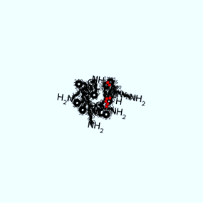 C[C@@H](c1ccccc1)N(CC(N)=O)C(=O)CN(Cc1ccccc1)C(=O)CN(CCCCN)C(=O)CN(Cc1ccccc1)C(=O)CN(Cc1ccccc1)C(=O)CN(CCCCN)C(=O)CN(Cc1ccccc1)C(=O)CN(Cc1ccccc1)C(=O)CN(CCCCN)C(=O)CN(Cc1ccccc1)C(=O)CN(C(=O)CNCCCCN)[C@@H](C)c1ccccc1